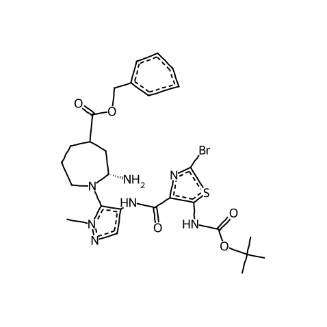 Cn1ncc(NC(=O)c2nc(Br)sc2NC(=O)OC(C)(C)C)c1N1CCCC(C(=O)OCc2ccccc2)C[C@@H]1N